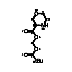 CC(C)(C)C(=O)OCOC(=O)C1COCCN1